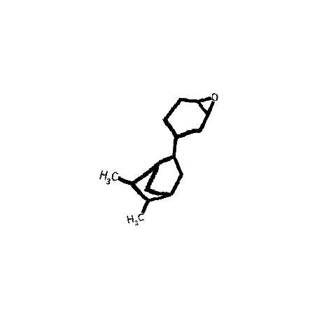 CC1C2CC(C3CCC4OC4C3)C(C2)C1C